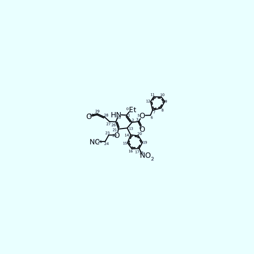 CCC1=C(C(=O)OCc2ccccc2)C(c2ccc([N+](=O)[O-])cc2)C(OCCC#N)=C(CC=C=O)N1